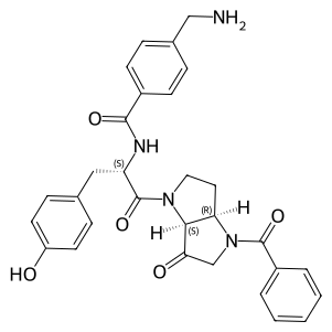 NCc1ccc(C(=O)N[C@@H](Cc2ccc(O)cc2)C(=O)N2CC[C@@H]3[C@H]2C(=O)CN3C(=O)c2ccccc2)cc1